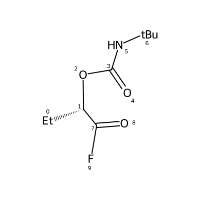 CC[C@H](OC(=O)NC(C)(C)C)C(=O)F